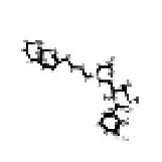 O=C(NC(CCN(CCCCc1ccc2c(n1)NCCC2)CC(F)F)C(=O)O)c1cccc(F)c1Cl